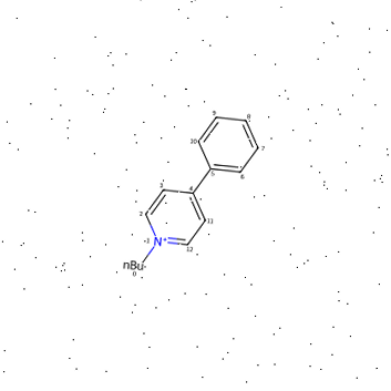 CCCC[n+]1ccc(-c2cc[c]cc2)cc1